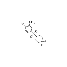 Cc1cc(S(=O)(=O)C2CCC(F)(F)CC2)ccc1Br